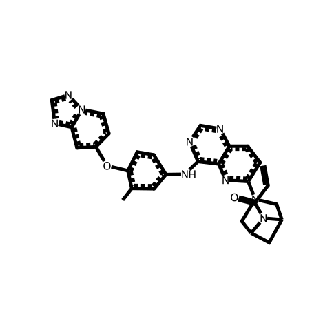 C=CC(=O)N1C2CC1CN(c1ccc3ncnc(Nc4ccc(Oc5ccn6ncnc6c5)c(C)c4)c3n1)C2